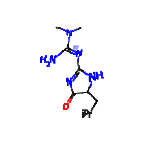 CC(C)CC1NC(/N=C(\N)N(C)C)=NC1=O